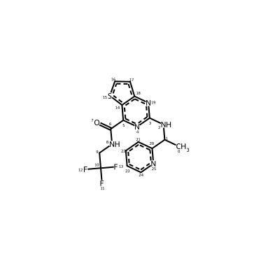 CC(Nc1nc(C(=O)NCC(F)(F)F)c2sccc2n1)c1ccccn1